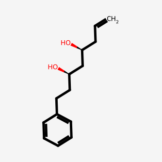 C=CC[C@H](O)C[C@H](O)CCc1ccccc1